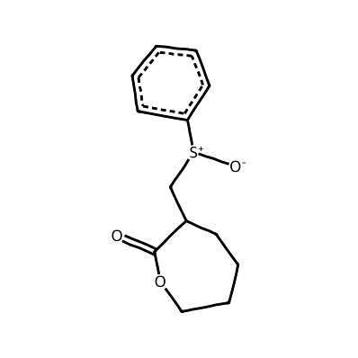 O=C1OCCCCC1C[S+]([O-])c1ccccc1